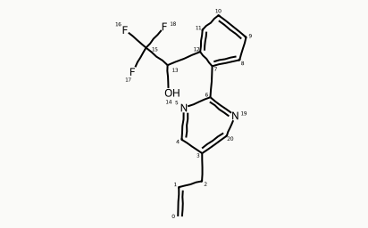 C=CCc1cnc(-c2ccccc2C(O)C(F)(F)F)nc1